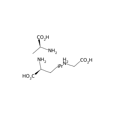 CC(C)C[C@H](N)C(=O)O.C[C@H](N)C(=O)O.NCC(=O)O